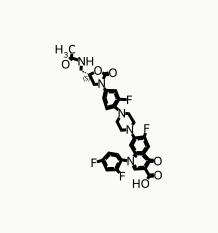 CC(=O)NC[C@H]1CN(c2ccc(N3CCN(c4cc5c(cc4F)c(=O)c(C(=O)O)cn5-c4ccc(F)cc4F)CC3)c(F)c2)C(=O)O1